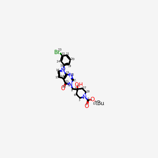 CC(C)(C)OC(=O)N1CCC(O)(Cn2cnc3c(ccn3-c3cccc(Br)c3)c2=O)CC1